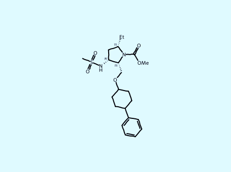 CC[C@H]1C[C@@H](NS(C)(=O)=O)[C@@H](COC2CCC(c3ccccc3)CC2)N1C(=O)OC